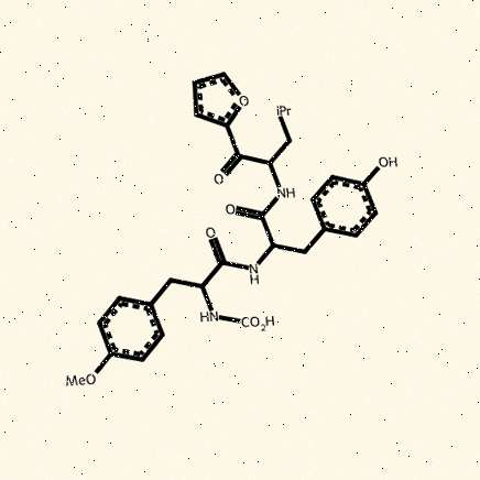 COc1ccc(CC(NC(=O)O)C(=O)NC(Cc2ccc(O)cc2)C(=O)NC(CC(C)C)C(=O)c2ccco2)cc1